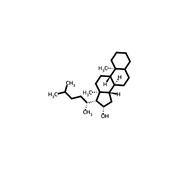 CC(C)CC[C@@H](C)[C@H]1[C@@H](O)C[C@H]2[C@@H]3CCC4CCCC[C@]4(C)[C@H]3CC[C@]12C